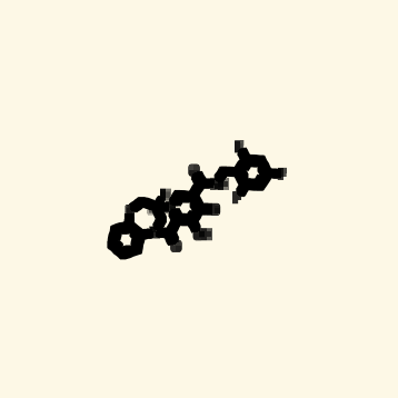 O=C(NCc1c(F)cc(F)cc1F)c1cn2c(c(O)c1=O)C(=O)N1C[C@@H]2CSc2ccccc21